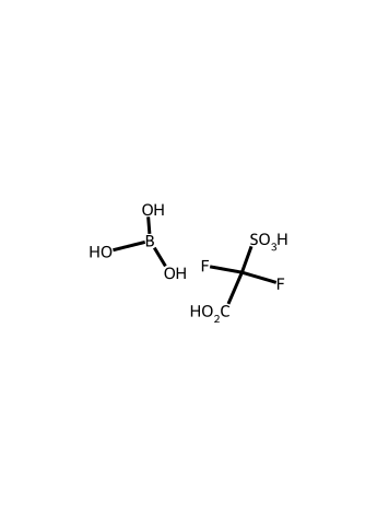 O=C(O)C(F)(F)S(=O)(=O)O.OB(O)O